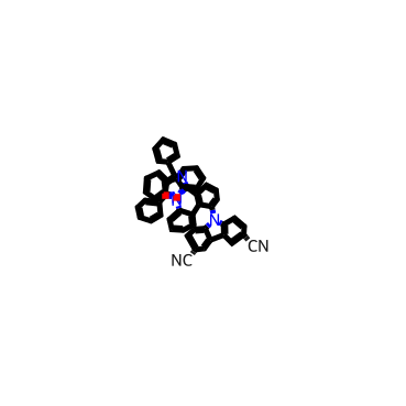 N#Cc1ccc2c(c1)c1cc(C#N)ccc1n2-c1cccc(-c2nc(-c3ccccc3)cc(-c3ccccc3)n2)c1-c1ccccc1-n1c2ccccc2c2ccccc21